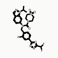 CC(C)n1ncc2ccc(N(Cc3ccc(-c4nnc(C(F)F)o4)cc3F)C(=O)N3CCS(=O)(=O)CC3)cc21